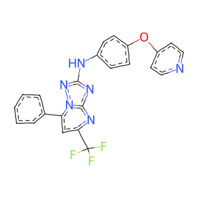 FC(F)(F)c1cc(-c2ccccc2)n2nc(Nc3ccc(Oc4ccncc4)cc3)nc2n1